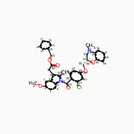 COc1ccc2c(c1)c(CC(=O)OCc1ccccc1)c(C)n2C(=O)c1ccc(OC[C@@H]2CN(C)c3ccccc3O2)cc1Cl